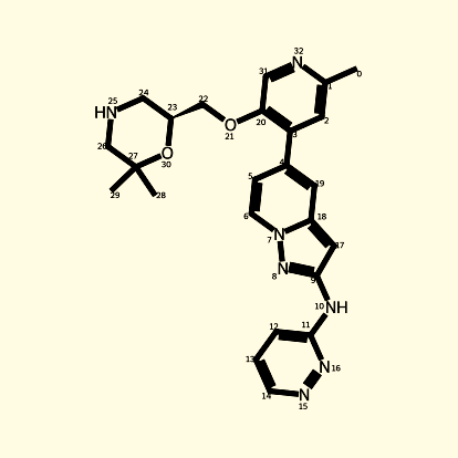 Cc1cc(-c2ccn3nc(Nc4cccnn4)cc3c2)c(OC[C@@H]2CNCC(C)(C)O2)cn1